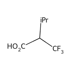 CC(C)C(C(=O)O)C(F)(F)F